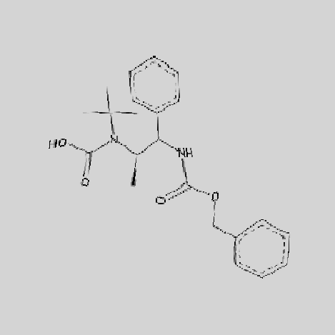 C[C@H](C(NC(=O)OCc1ccccc1)c1ccccc1)N(C(=O)O)C(C)(C)C